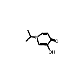 CC(C)n1ccc(=O)c(O)c1